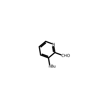 CCCCc1cccnc1C=O